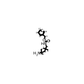 CC(C)(N)CC(C)(C)CNC(=O)OCc1ccccc1